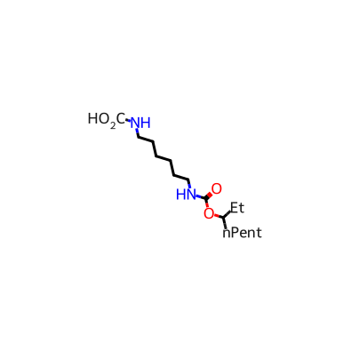 CCCCCC(CC)OC(=O)NCCCCCCNC(=O)O